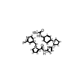 CC(C)(C)C(=O)Nc1ccc(N2CCC[C@@H]2c2csc(NC(=O)c3cccn3Cc3ccnc(F)c3)n2)cc1